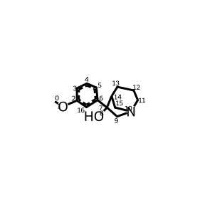 COc1cccc(C2(O)CN3CCCC2C3)c1